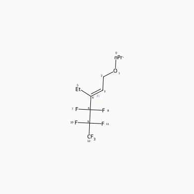 CC[CH]OC/C=C(\CC)C(F)(F)C(F)(F)C(F)(F)F